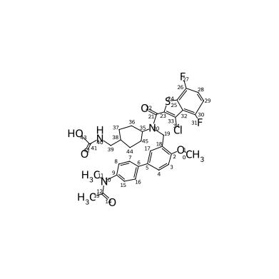 COc1ccc(-c2ccc(N(C)C(C)=O)cc2)cc1CN(C(=O)c1sc2c(F)ccc(F)c2c1Cl)C1CCC(CNC(=O)O)CC1